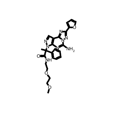 COCCOCCNC(=O)C(C)(c1ccccc1)n1ncc2c1nc(N)n1nc(-c3ccco3)nc21